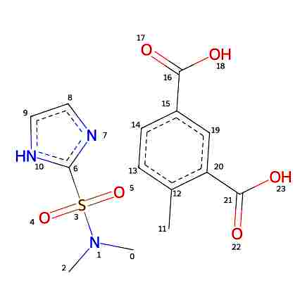 CN(C)S(=O)(=O)c1ncc[nH]1.Cc1ccc(C(=O)O)cc1C(=O)O